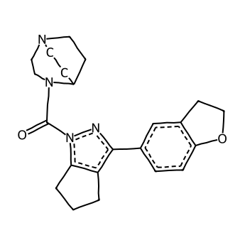 O=C(N1CCN2CCC1CC2)n1nc(-c2ccc3c(c2)CCO3)c2c1CCC2